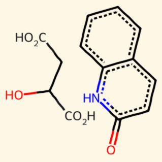 O=C(O)CC(O)C(=O)O.O=c1ccc2ccccc2[nH]1